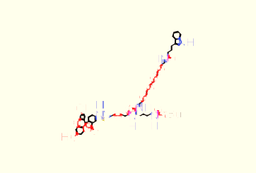 CC(C)(C)OC(=O)NCCCC[C@@H](NC(=O)CCOCCNC(=S)Nc1ccc2c(c1)C(=O)OC21c2ccc(O)cc2Oc2cc(O)ccc21)C(=O)NCCOCCOCCOCCOCCNC(=O)CCCc1c[nH]c2ccccc12